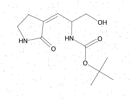 CC(C)(C)OC(=O)NC(C=C1CCNC1=O)CO